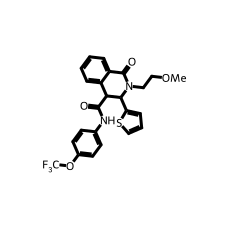 COCCN1C(=O)c2ccccc2C(C(=O)Nc2ccc(OC(F)(F)F)cc2)C1c1cccs1